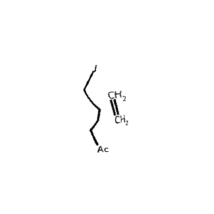 C=C.CC(=O)CCCI